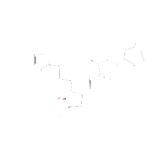 C[C@@H](CCc1ccccc1)[C@@H](O)/C=C/C1CC(F)(F)C(=O)N1CCCc1ccc(C(=O)O)s1